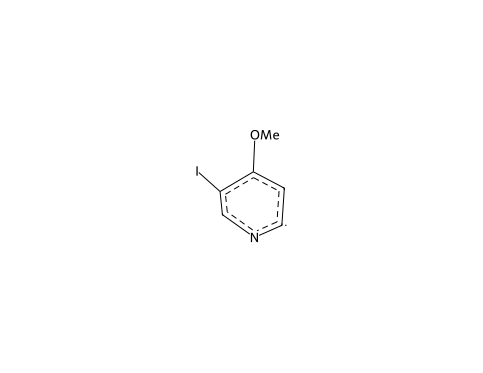 COc1c[c]ncc1I